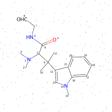 CN(C)C(C(=O)NCC=O)C(C)(C)c1cn(C)c2ccccc12